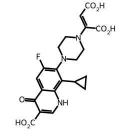 O=C(O)C=C(C(=O)O)N1CCN(c2c(F)cc3c(=O)c(C(=O)O)c[nH]c3c2C2CC2)CC1